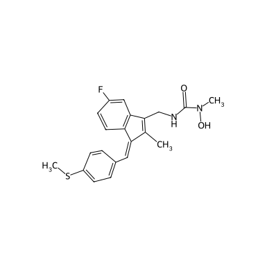 CSc1ccc(/C=C2/C(C)=C(CNC(=O)N(C)O)c3cc(F)ccc32)cc1